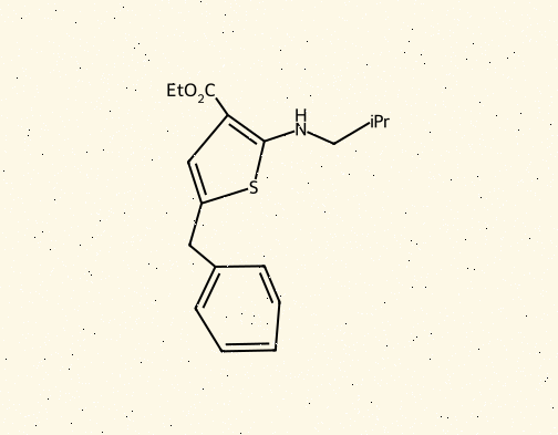 CCOC(=O)c1cc(Cc2ccccc2)sc1NCC(C)C